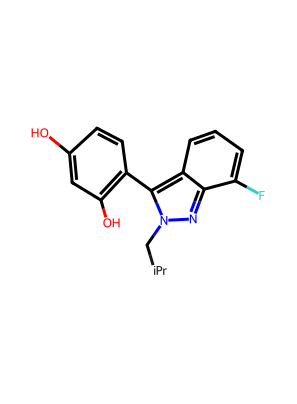 CC(C)Cn1nc2c(F)cccc2c1-c1ccc(O)cc1O